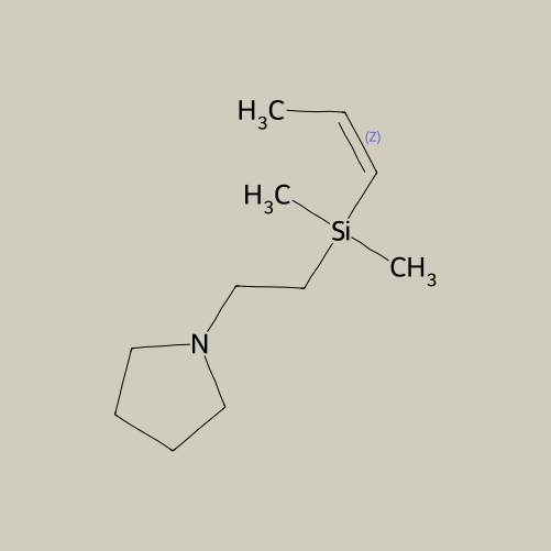 C/C=C\[Si](C)(C)CCN1CCCC1